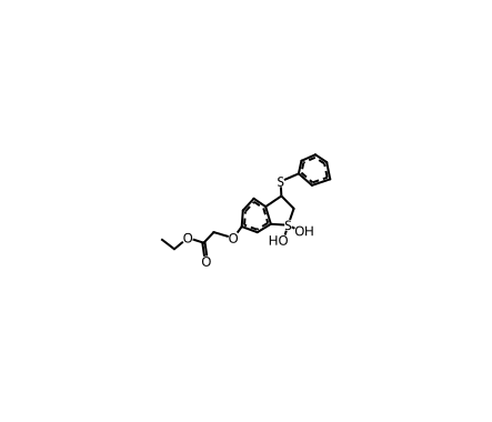 CCOC(=O)COc1ccc2c(c1)S(O)(O)CC2Sc1ccccc1